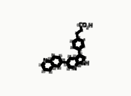 O=C(O)CCc1ccc(-c2c[nH]c3ncc(-c4ccc5ncccc5c4)cc23)cc1